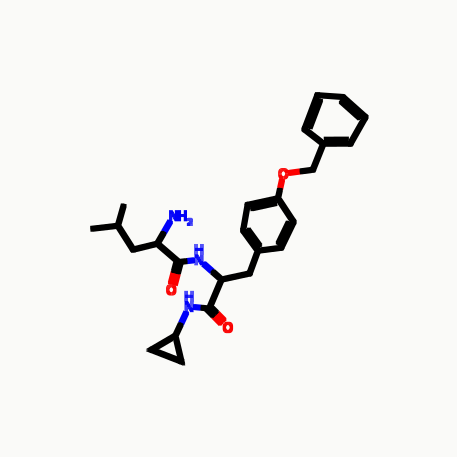 CC(C)CC(N)C(=O)NC(Cc1ccc(OCc2ccccc2)cc1)C(=O)NC1CC1